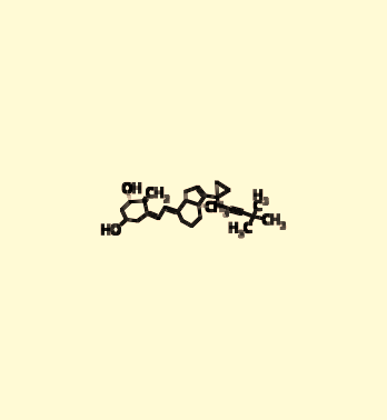 C=C1/C(=C\C=C2/CCC[C@]3(C)C(C4(CC#CC(C)(C)C)CC4)=CCC23)CC(O)C[C@@H]1O